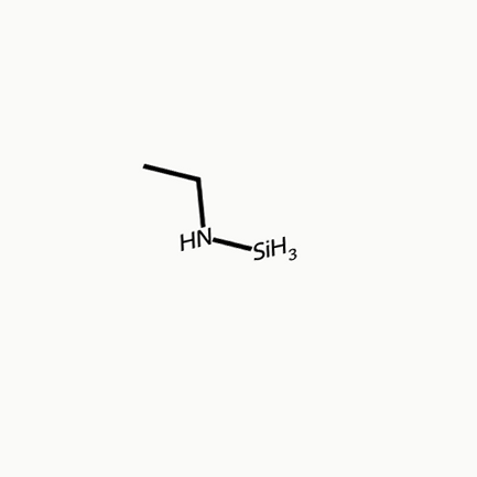 CCN[SiH3]